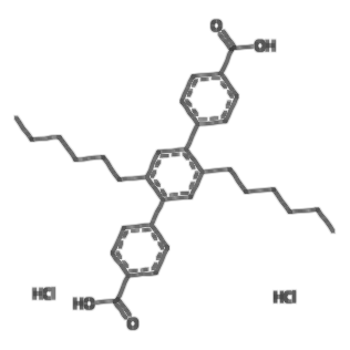 CCCCCCc1cc(-c2ccc(C(=O)O)cc2)c(CCCCCC)cc1-c1ccc(C(=O)O)cc1.Cl.Cl